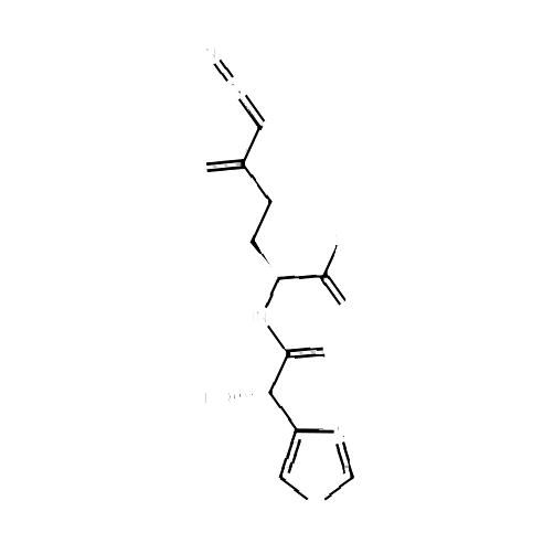 [N-]=[N+]=CC(=O)CC[C@H](NC(=O)[C@@H](O)c1cocn1)C(=O)O